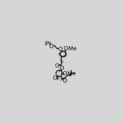 COc1ccc(/C=C/C(=O)O[C@@H]2CC[C@]3(CO3)C([C@]3(C)OC3CC=C(C)C)[C@@H]2OC)cc1OCCOC(C)C